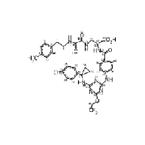 Cc1ccc(CCNC(=O)C(=O)NC[C@H](NC(=O)c2ccc(Nc3nc(NC4(c5ccc(Cl)cc5)CC4)nc(OCC(F)(F)F)n3)cc2)C(=O)O)cc1